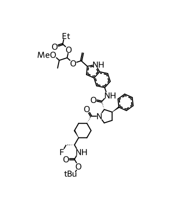 C=C(OC(OC(=O)CC)C(C)OC)c1cc2cc(NC(=O)[C@@H]3[C@@H](c4ccccc4)CCN3C(=O)[C@H]3CC[C@H]([C@@H](CF)NC(=O)OC(C)(C)C)CC3)ccc2[nH]1